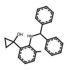 Cc1cccc(C2(O)CC2)c1NC(c1ccccc1)c1ccccc1